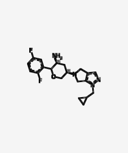 N[C@H]1C[C@@H](N2Cc3cnn(CC4CC4)c3C2)COC1c1cc(F)ccc1F